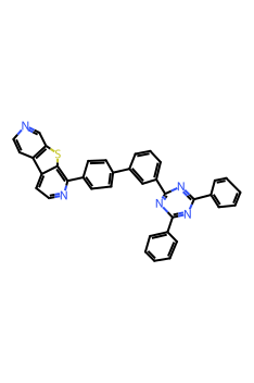 c1ccc(-c2nc(-c3ccccc3)nc(-c3cccc(-c4ccc(-c5nccc6c5sc5cnccc56)cc4)c3)n2)cc1